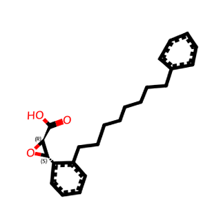 O=C(O)[C@@H]1O[C@H]1c1ccccc1CCCCCCCCc1ccccc1